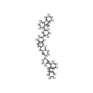 c1cc(-c2ccc3cc4c(cc3c2)sc2ccc(-c3cccc(-c5cccc6c5sc5ccccc56)c3)cc24)cc(-c2cccc3c2sc2ccccc23)c1